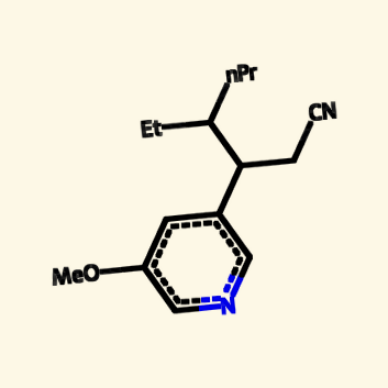 CCCC(CC)C(CC#N)c1cncc(OC)c1